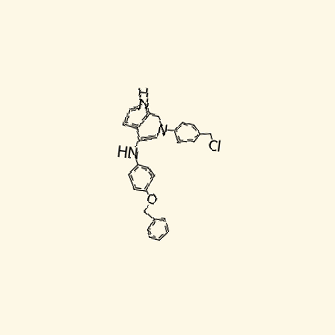 ClCc1ccc(N2C=C(Nc3ccc(OCc4ccccc4)cc3)c3cc[nH]c3C2)cc1